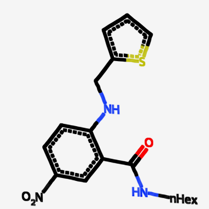 CCCCCCNC(=O)c1cc([N+](=O)[O-])ccc1NCc1cccs1